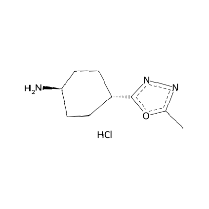 Cc1nnc([C@H]2CC[C@H](N)CC2)o1.Cl